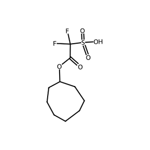 O=C(OC1CCCCCCC1)C(F)(F)S(=O)(=O)O